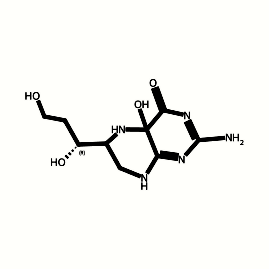 NC1=NC(=O)C2(O)NC([C@H](O)CCO)CNC2=N1